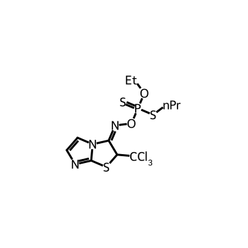 CCCSP(=S)(OCC)ON=C1C(C(Cl)(Cl)Cl)Sc2nccn21